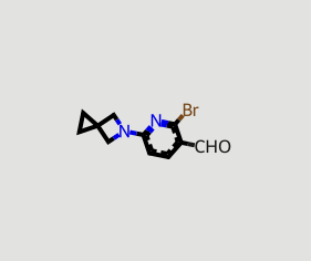 O=Cc1ccc(N2CC3(CC3)C2)nc1Br